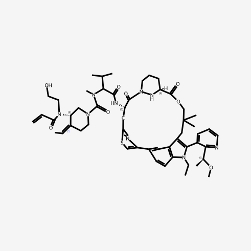 C=CC(=O)N(CCO)[C@@H]1CN(C(=O)N(C)C(C(=O)N[C@H]2Cc3nc(cs3)-c3ccc4c(c3)c(c(-c3cccnc3[C@H](C)OC)n4CC)CC(C)(C)COC(=O)[C@@H]3CCCN(N3)C2=O)C(C)C)CC/C1=C/C